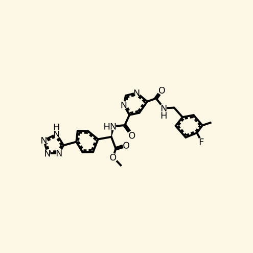 COC(=O)[C@H](NC(=O)c1cc(C(=O)NCc2ccc(F)c(C)c2)ncn1)c1ccc(-c2nnn[nH]2)cc1